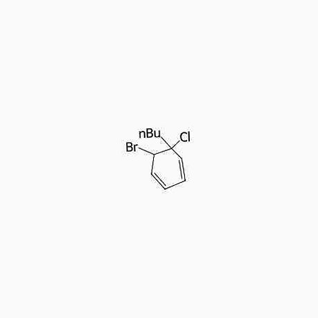 CCCCC1(Cl)C=CC=CC1Br